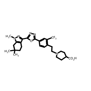 Cn1nc(-c2nnc(-c3ccc(CCN4CCC(C(=O)O)CC4)c(C(F)(F)F)c3)o2)c2c1CC(C)(C)CC2